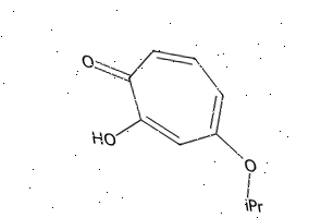 CC(C)Oc1cccc(=O)c(O)c1